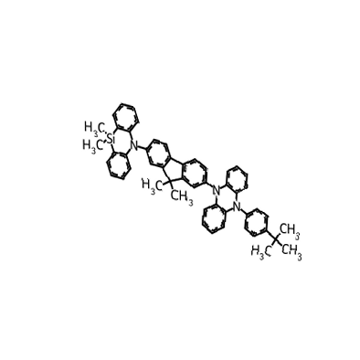 CC(C)(C)c1ccc(N2c3ccccc3N(c3ccc4c(c3)C(C)(C)c3cc(N5c6ccccc6[Si](C)(C)c6ccccc65)ccc3-4)c3ccccc32)cc1